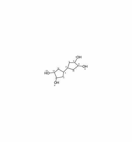 OC1CC(C2CC(O)C(O)C2)CC1O